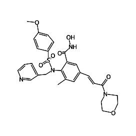 COc1ccc(S(=O)(=O)N(Cc2cccnc2)c2c(C)cc(C=CC(=O)N3CCOCC3)cc2C(=O)NO)cc1